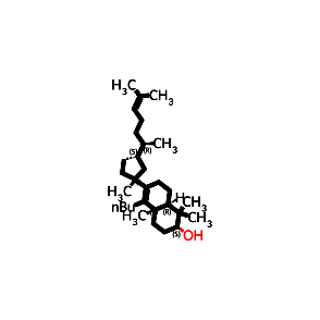 CCCCC1=C([C@]2(C)CC[C@H]([C@H](C)CCC=C(C)C)C2)CC[C@H]2C(C)(C)[C@@H](O)CC[C@]12C